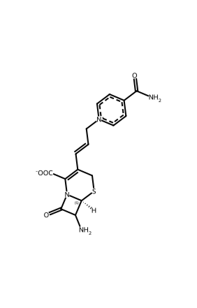 NC(=O)c1cc[n+](CC=CC2=C(C(=O)[O-])N3C(=O)C(N)[C@@H]3SC2)cc1